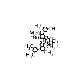 COc1c(C(C)(C)C)cc2c(c1-c1cc(C)cc(C)c1)C=C(C)[CH]2[Zr]([CH]1C(C)=Cc2c(-c3cc(C)cc(C)c3)cc(C)cc21)=[Si](C)C